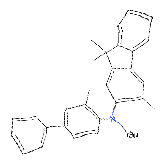 Cc1cc(-c2ccccc2)ccc1N(c1cc2c(cc1C)-c1ccccc1C2(C)C)C(C)(C)C